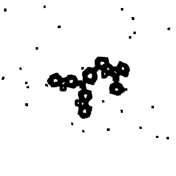 c1ccc(-n2c3ccccc3c3c4cccc(-c5ccc(N(c6ccc7c(c6)oc6ccccc67)c6ccc7c(c6)oc6ccccc67)cc5)c4oc32)cc1